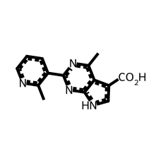 Cc1ncccc1-c1nc(C)c2c(C(=O)O)c[nH]c2n1